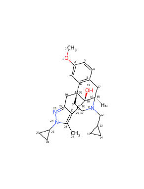 COc1ccc2c(c1)[C@]13CCN(CC4CC4)[C@H](C2)[C@]1(O)Cc1c(nn(C2CC2)c1C)C3